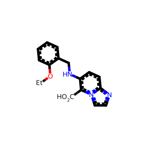 CCOc1ccccc1CNc1ccc2nccn2c1C(=O)O